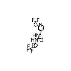 O=C(NCc1ccnc(OC(F)F)c1)NC12CC(C1)C(C(F)(F)F)C2